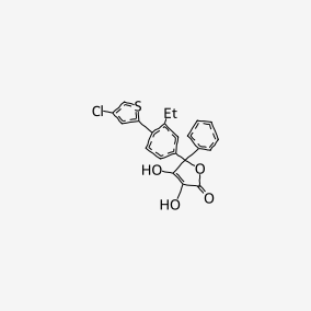 CCc1cc(C2(c3ccccc3)OC(=O)C(O)=C2O)ccc1-c1cc(Cl)cs1